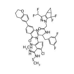 CNc1c(-n2c(C(Cc3cc(F)cc(F)c3)NC(=O)Cn3nc(C(F)F)c4c3C(F)(F)C3CC43)nc3cc(-c4ccc5c(c4)CCCO5)ccc3c2=O)ccc(Cl)c1C(=N)NSC